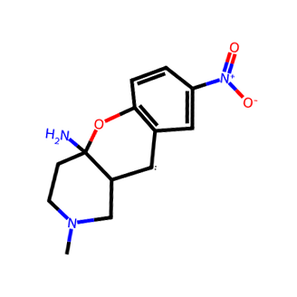 CN1CCC2(N)Oc3ccc([N+](=O)[O-])cc3[C]C2C1